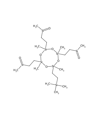 C[Si](=O)CC[Si]1(C)O[Si](C)(CC[Si](C)=O)O[Si](C)(CC[Si](C)(C)C)O[Si](C)(CC[Si](C)=O)O1